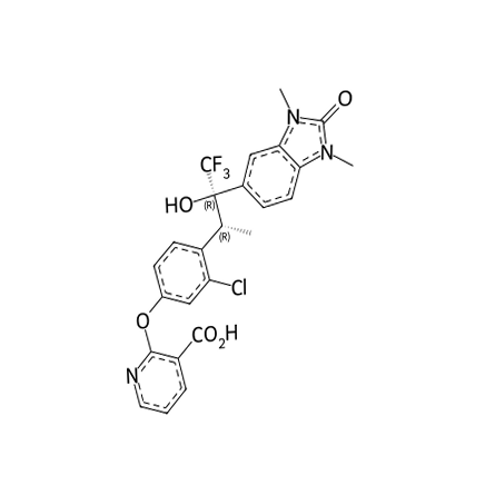 C[C@H](c1ccc(Oc2ncccc2C(=O)O)cc1Cl)[C@@](O)(c1ccc2c(c1)n(C)c(=O)n2C)C(F)(F)F